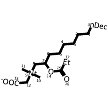 CCCCCCCCCCCCCCCCC(C[N+](C)(C)CC(=O)[O-])OC(=O)CC